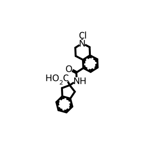 O=C(NC1(C(=O)O)Cc2ccccc2C1)c1cccc2c1CCN(Cl)C2